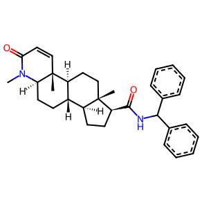 CN1C(=O)C=C[C@]2(C)[C@H]3CC[C@]4(C)[C@@H](C(=O)NC(c5ccccc5)c5ccccc5)CC[C@H]4[C@@H]3CC[C@@H]12